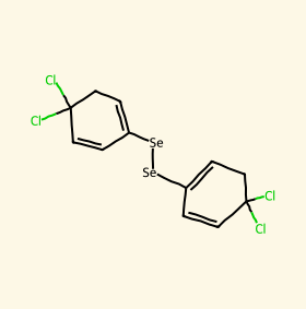 ClC1(Cl)C=CC([Se][Se]C2=CCC(Cl)(Cl)C=C2)=CC1